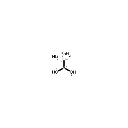 OB(O)O.[LiH].[SnH2]